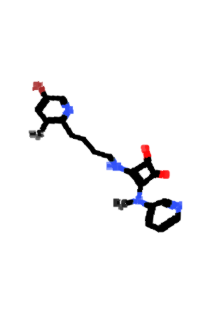 Cc1cc(Br)cnc1CCCCNc1c(N(C)c2cccnc2)c(=O)c1=O